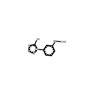 O=CNc1cccc(-n2nnnc2S)c1